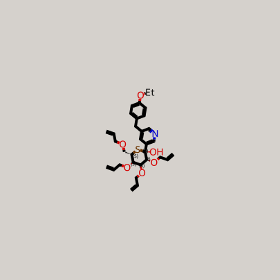 C=CCOC[C@@H]1S[C@@](O)(c2cncc(Cc3ccc(OCC)cc3)c2)[C@H](OCC=C)[C@@H](OCC=C)[C@@H]1OCC=C